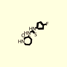 O=C1NCCCC[C@@H]1NC(=S)Nc1ccc(F)cc1